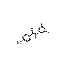 Cc1cc(C)cc(NC(=O)c2ccc(C#N)cc2)c1